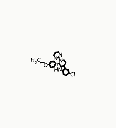 C=CCOc1ccc([C@H]2c3[nH]c4ccc(Cl)cc4c3CCN2c2ncccn2)cc1